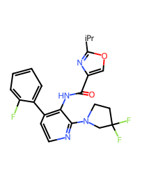 CC(C)c1nc(C(=O)Nc2c(-c3ccccc3F)ccnc2N2CCC(F)(F)C2)co1